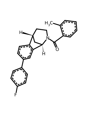 Cc1ccccc1C(=O)N1CC[C@@H]2C[C@@H]1c1cc(-c3ccc(F)cc3)ccc12